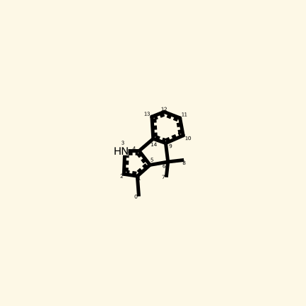 Cc1c[nH]c2c1C(C)(C)c1ccccc1-2